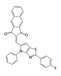 O=C1C(=Cc2cc3sc(-c4ccc(F)cc4)nc3n2-c2ccccc2)C(=O)c2cc3ccccc3cc21